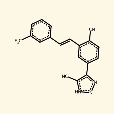 N#Cc1ccc(-c2nn[nH]c2C#N)cc1C=Cc1cccc(C(F)(F)F)c1